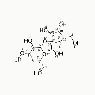 OC[C@@H]1C[C@H](OCl)[C@@H](O)[C@H](O[C@@]2(CO)O[C@H](CO)[C@@H](O)[C@@H]2O)O1